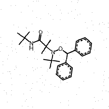 CC(C)(C)NC(=O)C(C)(C)N(OC(c1ccccc1)c1ccccc1)C(C)(C)C